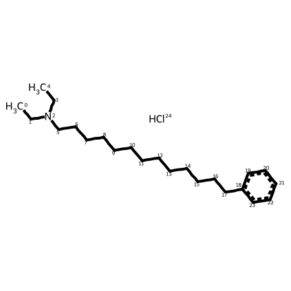 CCN(CC)CCCCCCCCCCCCCc1ccccc1.Cl